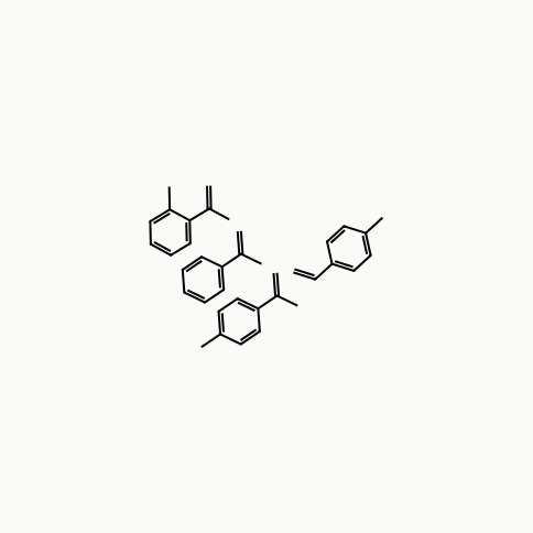 C=C(C)c1ccc(C)cc1.C=C(C)c1ccccc1.C=C(C)c1ccccc1C.C=Cc1ccc(C)cc1